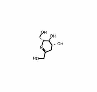 OCC1=N[C@H](CO)[C@@H](O)[C@H](O)C1